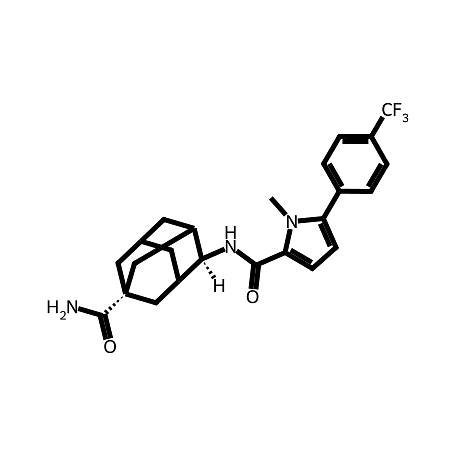 Cn1c(C(=O)N[C@H]2C3CC4CC2C[C@](C(N)=O)(C4)C3)ccc1-c1ccc(C(F)(F)F)cc1